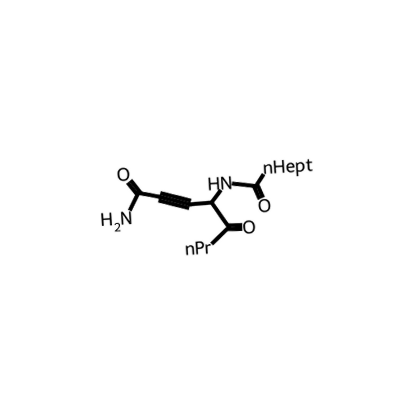 CCCCCCCC(=O)NC(C#CC(N)=O)C(=O)CCC